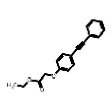 CCOC(=O)COc1ccc(C#Cc2ccccc2)cc1